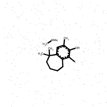 CNC.Cc1cc2c(c(I)c1O)CCCCC2(C)C